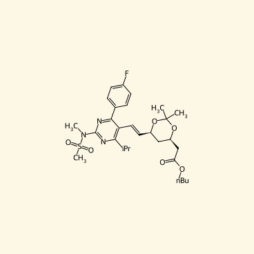 CCCCOC(=O)C[C@H]1C[C@@H](/C=C/c2c(-c3ccc(F)cc3)nc(N(C)S(C)(=O)=O)nc2C(C)C)OC(C)(C)O1